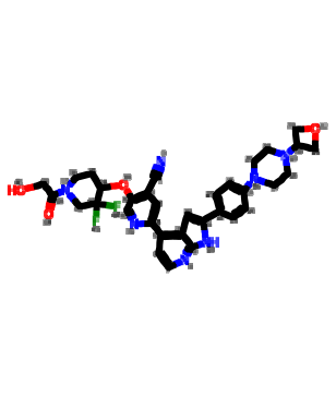 N#Cc1cc(-c2ccnc3[nH]c(-c4ccc(N5CCN(C6COC6)CC5)cc4)cc23)ncc1OC1CCN(C(=O)CO)CC1(F)F